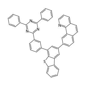 c1ccc(-c2nc(-c3ccccc3)nc(-c3cccc(-c4cc(-c5ccc6ccc7cccnc7c6c5)cc5c4sc4ccccc45)c3)n2)cc1